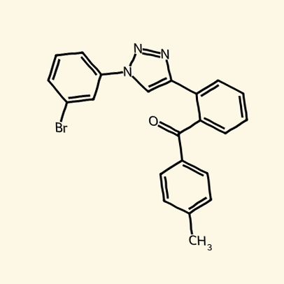 Cc1ccc(C(=O)c2ccccc2-c2cn(-c3cccc(Br)c3)nn2)cc1